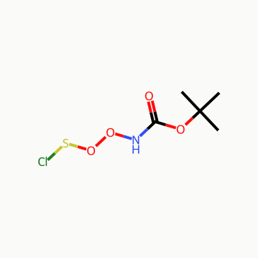 CC(C)(C)OC(=O)NOOSCl